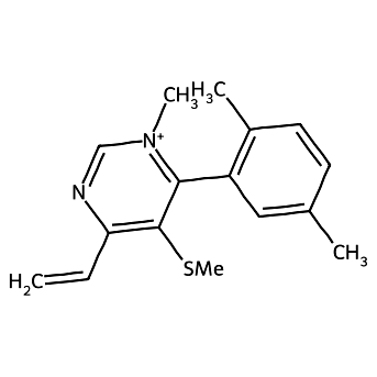 C=Cc1nc[n+](C)c(-c2cc(C)ccc2C)c1SC